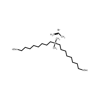 C=CC.CCCCCCCCCCCCCCCCCC[N+](C)(C)CCCCCCCCCCCCCCCCCC.[Br-]